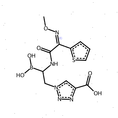 CO/N=C(\C(=O)NC(Cn1cc(C(=O)O)nn1)B(O)O)c1cccs1